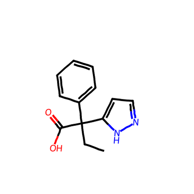 CCC(C(=O)O)(c1ccccc1)c1ccn[nH]1